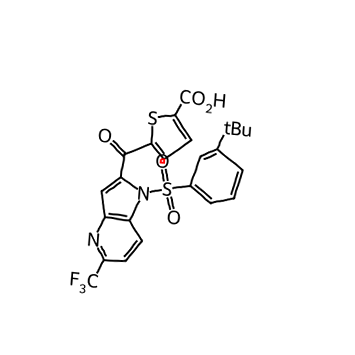 CC(C)(C)c1cccc(S(=O)(=O)n2c(C(=O)c3ccc(C(=O)O)s3)cc3nc(C(F)(F)F)ccc32)c1